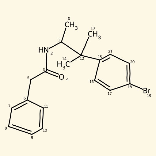 CC(NC(=O)Cc1ccccc1)C(C)(C)c1ccc(Br)cc1